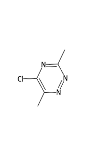 Cc1nnc(C)c(Cl)n1